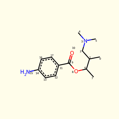 CC(CN(C)C)C(C)OC(=O)c1ccc(N)cc1